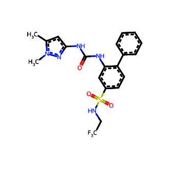 Cc1cc(NC(=O)Nc2cc(S(=O)(=O)NCC(F)(F)F)ccc2-c2ccccc2)nn1C